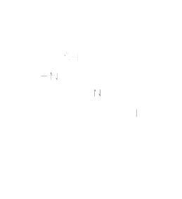 Fc1cccc(NS)n1